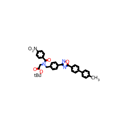 Cc1ccc(-c2ccc(-c3nc(-c4ccc(CN(CC(=O)OC(C)(C)C)C(=O)c5ccc([N+](=O)[O-])cc5)cc4)no3)cc2)cc1